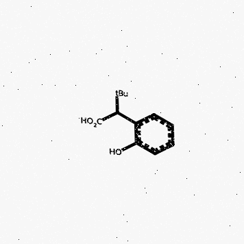 CC(C)(C)C(C(=O)O)c1ccccc1O